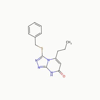 CCCc1cc(=O)[nH]c2nnc(SCc3ccccc3)n12